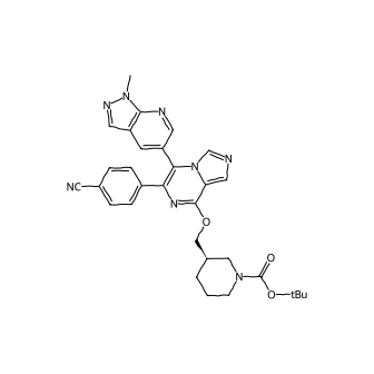 Cn1ncc2cc(-c3c(-c4ccc(C#N)cc4)nc(OC[C@@H]4CCCN(C(=O)OC(C)(C)C)C4)c4cncn34)cnc21